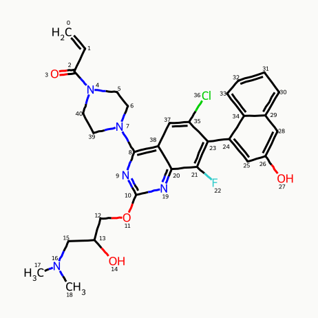 C=CC(=O)N1CCN(c2nc(OCC(O)CN(C)C)nc3c(F)c(-c4cc(O)cc5ccccc45)c(Cl)cc23)CC1